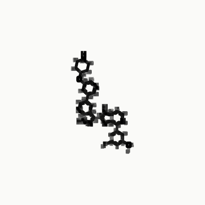 COc1cc(F)cc(-c2nccc3[nH]c(-c4n[nH]c5ncc(-c6cncc(OC7CCNCC7)c6)cc45)nc23)c1